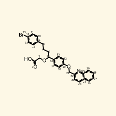 O=C(O)COC(CCCc1ccc(Br)cc1)c1ccc(OCc2ccc3ccccc3n2)cc1